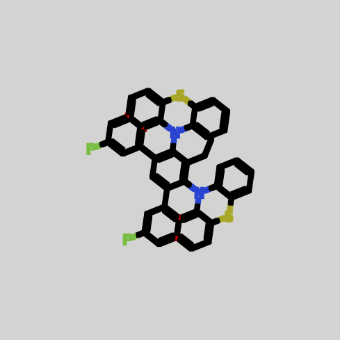 CCc1c(N2c3ccccc3Sc3ccccc32)c(-c2cccc(F)c2)cc(-c2cccc(F)c2)c1N1c2ccccc2Sc2ccccc21